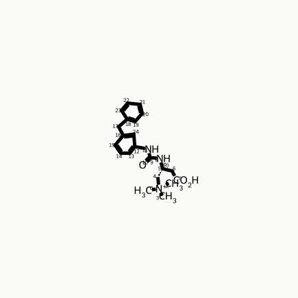 C[N+](C)(C)C[C@@H](CC(=O)O)NC(=O)Nc1cccc(Cc2ccccc2)c1